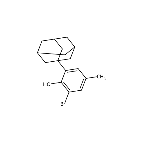 Cc1cc(Br)c(O)c(C23CC4CC(CC(C4)C2)C3)c1